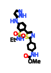 CCNS(=O)(=O)c1cc(Nc2ccn[nH]2)ccc1-c1cnc(C2CCC(NC(=O)OC)CC2)s1